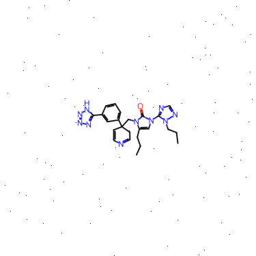 CCCc1cn(-c2ncnn2CCC)c(=O)n1CC1(c2cccc(-c3nnn[nH]3)c2)C=CN=CC1